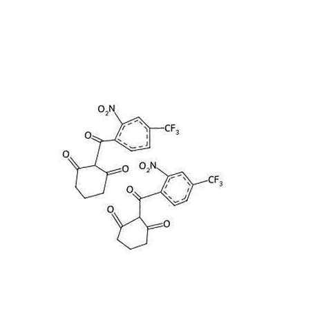 O=C1CCCC(=O)C1C(=O)c1ccc(C(F)(F)F)cc1[N+](=O)[O-].O=C1CCCC(=O)C1C(=O)c1ccc(C(F)(F)F)cc1[N+](=O)[O-]